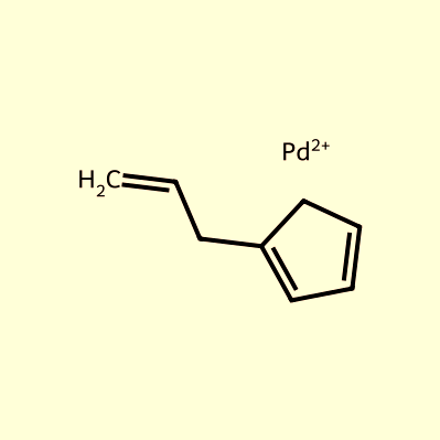 C=CCC1=CC=CC1.[Pd+2]